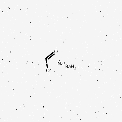 O=C[O-].[BaH2].[Na+]